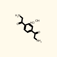 Cl.Cl.NCC(=O)c1ccc(C(=O)CN)cc1